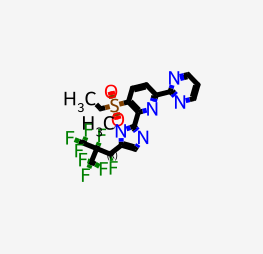 CCS(=O)(=O)c1ccc(-c2ncccn2)nc1-c1ncc([C@@H](F)C(F)(C(F)(F)F)C(F)(F)F)n1C